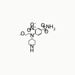 COCCN(c1ccc(S(N)(=O)=O)cc1[N+](=O)[O-])C1CCNCC1